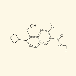 CCOC(=O)c1cc2ccc(C3CCC3)c(CO)c2nc1OC